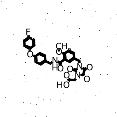 COc1ccc(CN2C(=O)C(=O)N(CC(=O)O)C2=O)cc1C(=O)NCc1ccc(Oc2ccc(F)cc2)cc1